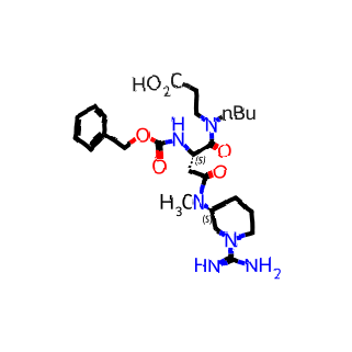 CCCCN(CCC(=O)O)C(=O)[C@H](CC(=O)N(C)[C@H]1CCCN(C(=N)N)C1)NC(=O)OCc1ccccc1